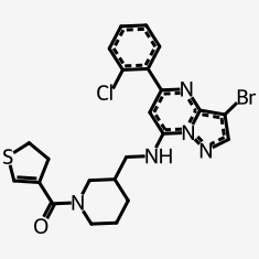 O=C(C1=CSCC1)N1CCCC(CNc2cc(-c3ccccc3Cl)nc3c(Br)cnn23)C1